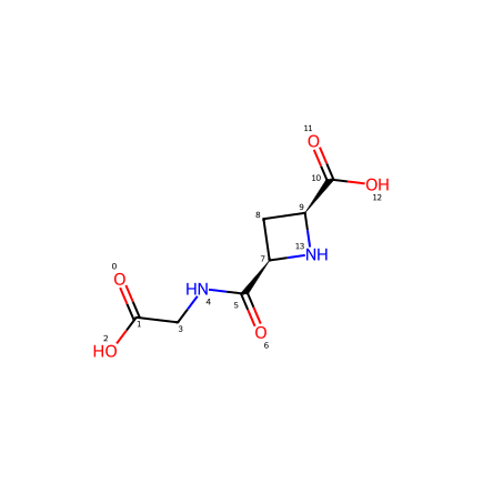 O=C(O)CNC(=O)[C@H]1C[C@@H](C(=O)O)N1